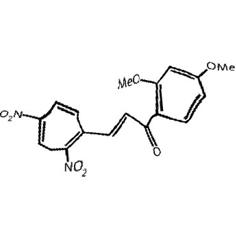 COc1ccc(C(=O)C=Cc2ccc([N+](=O)[O-])cc2[N+](=O)[O-])c(OC)c1